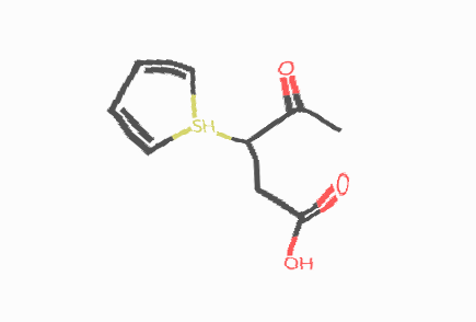 CC(=O)C(CC(=O)O)[SH]1C=CC=C1